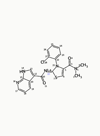 CN(C)C(=O)c1cs/c(=N\C(=O)c2c[nH]c3ncccc23)n1-c1ccccc1Cl